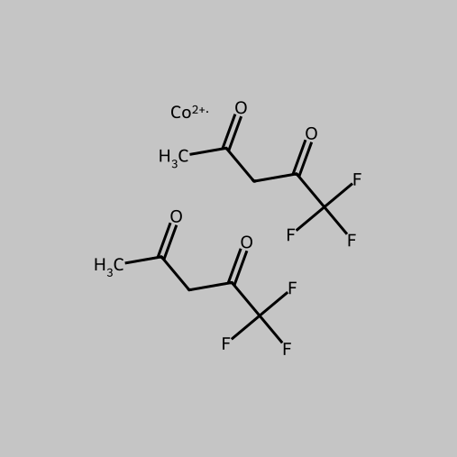 CC(=O)CC(=O)C(F)(F)F.CC(=O)CC(=O)C(F)(F)F.[Co+2]